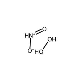 O=[NH+][O-].OO